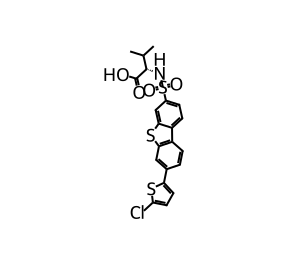 CC(C)[C@H](NS(=O)(=O)c1ccc2c(c1)sc1cc(-c3ccc(Cl)s3)ccc12)C(=O)O